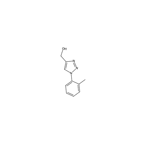 Cc1ccccc1-n1cc(CO)nn1